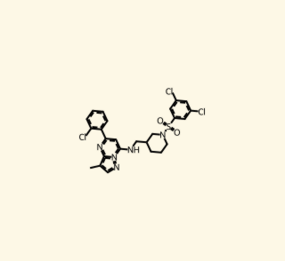 Cc1cnn2c(NCC3CCCN(S(=O)(=O)c4cc(Cl)cc(Cl)c4)C3)cc(-c3ccccc3Cl)nc12